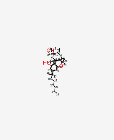 [3H][C@H]1C[C@@H]2[C@@H](C[C@@]1([3H])CO)c1c(O)cc(C(C)(C)CCCCCC)cc1OC2(C)C